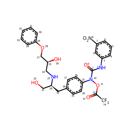 O=C(Nc1cccc([N+](=O)[O-])c1)N(OC(=O)C(F)(F)F)c1ccc(C[C@@H](CO)NC[C@H](O)COc2ccccc2)cc1